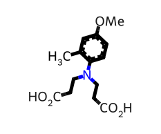 COc1ccc(N(CCC(=O)O)CCC(=O)O)c(C)c1